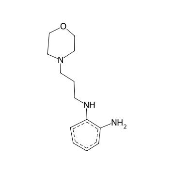 Nc1ccccc1NCCCN1CCOCC1